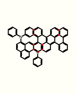 C1=CC(N(c2ccccc2)c2ccc3c(-c4ccccc4-c4ccccc4)c4ccccc4c(-c4ccccc4-c4ccccc4)c3c2)c2cccc3ccc(N(c4ccccc4)c4ccccc4)c1c23